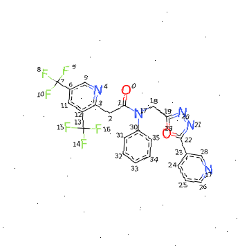 O=C(Cc1ncc(C(F)(F)F)cc1C(F)(F)F)N(Cc1nnc(-c2cccnc2)o1)c1ccccc1